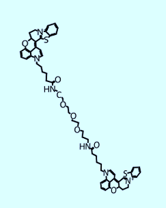 O=C(CCCCCN1C=CC2=C3c4sc5ccccc5[n+]4CCC3Oc3cccc1c32)NCCCOCCOCCOCCCNC(=O)CCCCCN1C=CC2=C3c4sc5ccccc5[n+]4CCC3Oc3cccc1c32